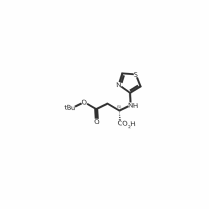 CC(C)(C)OC(=O)C[C@H](Nc1cscn1)C(=O)O